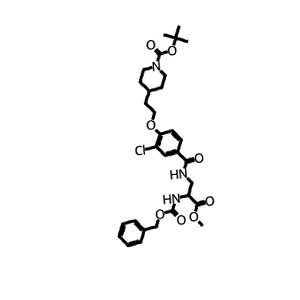 COC(=O)C(CNC(=O)c1ccc(OCCC2CCN(C(=O)OC(C)(C)C)CC2)c(Cl)c1)NC(=O)OCc1ccccc1